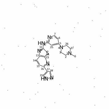 CN1CCN(c2ccnc(Nc3nc4ccc(-c5cn[nH]c5)nc4s3)c2)CC1